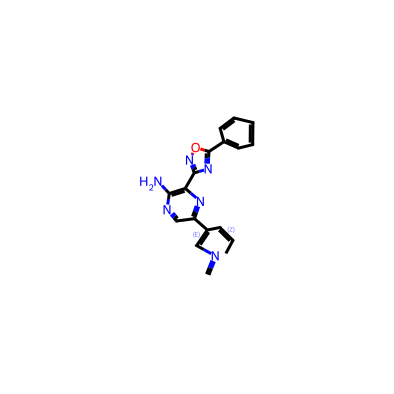 C=N/C=C(\C=C/C)c1cnc(N)c(-c2noc(-c3ccccc3)n2)n1